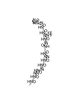 CCCNC(=O)CCNC(=O)c1nc(NC(=O)c2cc(NC(=O)CCNC(=O)c3nc(NC(=O)CCCNC(=O)c4cc(NC(=O)c5nc(NC(=O)CCNC(=O)c6cc(NC(=O)c7nccn7C)cn6C)cn5CC(F)(F)F)cn4C)cn3C)cn2C)cn1C